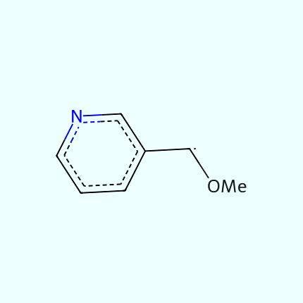 CO[CH]c1cccnc1